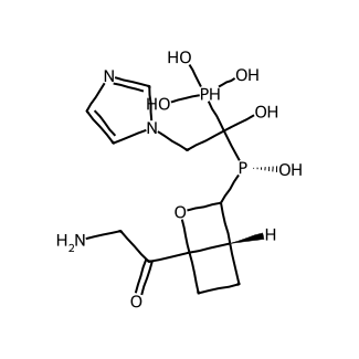 NCC(=O)C12CC[C@H]1C([P@@](O)C(O)(Cn1ccnc1)[PH](O)(O)O)O2